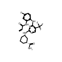 C=CC(=O)Nc1cc(F)ccc1Nc1nc(N[C@H]2CCC[C@@H](C(N)=O)C2)ncc1C(F)(F)F